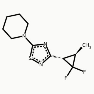 C[C@@H]1[C@@H](c2nsc(N3CCCCC3)n2)C1(F)F